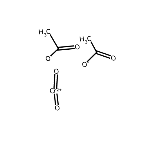 CC(=O)[O-].CC(=O)[O-].[O]=[Cr+2]=[O]